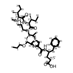 CCCO[C@H](C[C@H](C(C)C)N(CCC)C(=O)[C@@H](NC(=O)[C@@H](NC)[C@@H](C)CC)[C@@H](C)CC)c1nc(C(=O)NC(Cc2ccccc2)C[C@H](C)C(=O)O)cs1